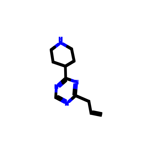 C=CCc1ncnc(C2CCNCC2)n1